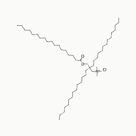 CCCCCCCCCCCCCCCCCC(=O)OCC(CCCCCCCCCCCCCC)(CCCCCCCCCCCCCC)C[N+](C)(C)C.[Cl-]